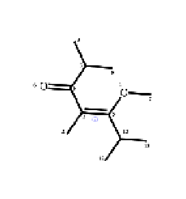 CO/C(=C(/C)C(=O)C(C)C)C(C)C